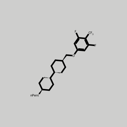 CCCCC[C@H]1CC[C@H]([C@H]2CC[C@H](COc3cc(F)c(C(F)(F)F)c(F)c3)CC2)CC1